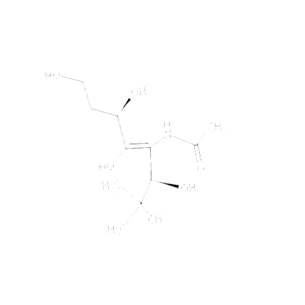 CC(=O)N/C(=C(/O)[C@H](O)CCO)[C@@H](O)C(C)(C)C